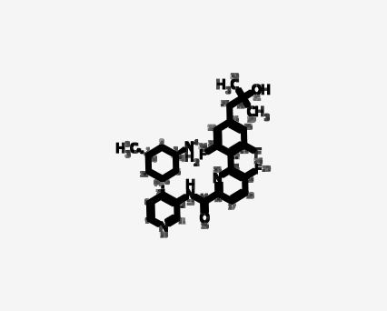 C[C@@H]1C[C@@H](N)C[C@H](c2ccncc2NC(=O)c2ccc(F)c(-c3c(F)cc(CC(C)(C)O)cc3F)n2)C1